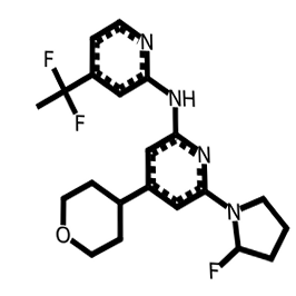 CC(F)(F)c1ccnc(Nc2cc(C3CCOCC3)cc(N3CCCC3F)n2)c1